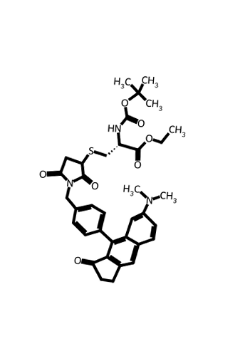 CCOC(=O)[C@H](CSC1CC(=O)N(Cc2ccc(-c3c4c(cc5ccc(N(C)C)cc35)CCC4=O)cc2)C1=O)NC(=O)OC(C)(C)C